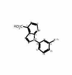 O=C(O)c1ccnc2c1ccn2-c1cccc(F)c1